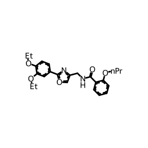 CCCOc1ccccc1C(=O)NCc1coc(-c2ccc(OCC)c(OCC)c2)n1